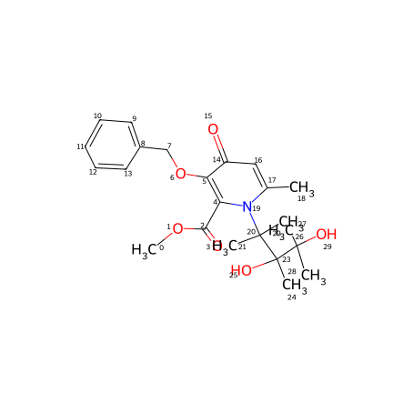 COC(=O)c1c(OCc2ccccc2)c(=O)cc(C)n1C(C)(C)C(C)(O)C(C)(C)O